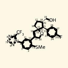 CSc1ccc(-n2nnnc2C(F)(F)F)cc1C1=C[C@@]2(CC[C@H](CO)[C@H]2c2ccc(F)cc2)OC1